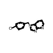 Clc1ccc(Cn2cnc3ncccc32)cc1